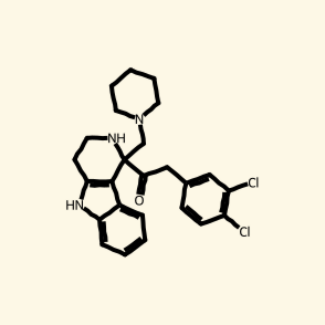 O=C(Cc1ccc(Cl)c(Cl)c1)C1(CN2CCCCC2)NCCc2[nH]c3ccccc3c21